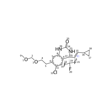 COCOCCc1cc2c(cc1Cl)[C@@](/C=C/C1CC1)(C(F)(F)F)NC(=O)N2